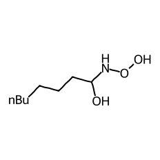 CCCCCCCC(O)NOO